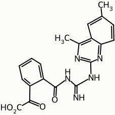 Cc1ccc2nc(NC(=N)NC(=O)c3ccccc3C(=O)C(=O)O)nc(C)c2c1